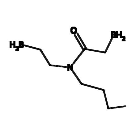 BCCN(CCCC)C(=O)CB